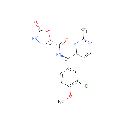 O=C1NC[C@@H](C(=O)N[C@H](c2ccc(OC(F)(F)F)c(Cl)c2)c2ccnc(C(F)(F)F)n2)O1